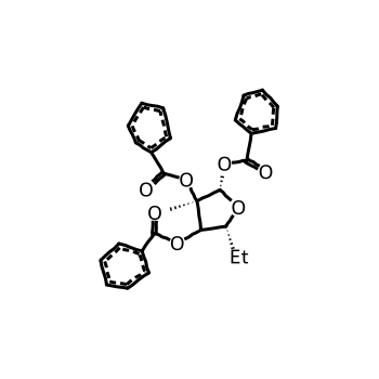 CC[C@H]1O[C@@H](OC(=O)c2ccccc2)[C@](C)(OC(=O)c2ccccc2)C1OC(=O)c1ccccc1